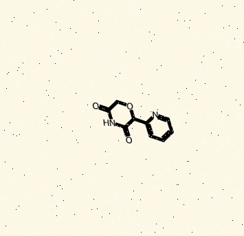 O=C1COC(c2ccccn2)C(=O)N1